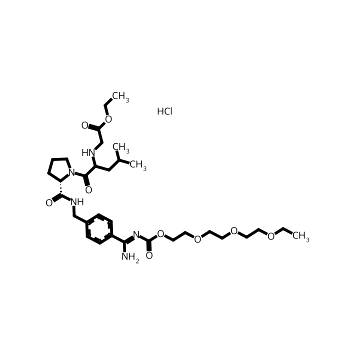 CCOCCOCCOCCOC(=O)N=C(N)c1ccc(CNC(=O)[C@@H]2CCCN2C(=O)C(CC(C)C)NCC(=O)OCC)cc1.Cl